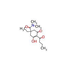 CCCC(=O)C1=C(O)CC(CC)(C(=O)N(C)C)CC1=O